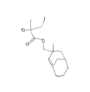 CC1(COC(=O)C(C)(Cl)CI)C=C2CCCC(C2)C1